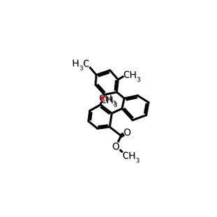 COC(=O)c1cccc(C)c1-c1ccccc1-c1c(C)cc(C)cc1C